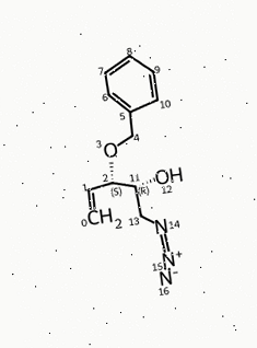 C=C[C@H](OCc1ccccc1)[C@H](O)CN=[N+]=[N-]